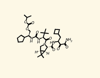 CC(C)OC(=O)OC[C@@H](NC(=O)N[C@H](C(=O)N1C[C@H]2[C@@H]([C@H]1C(=O)NC(CC1CCC1)C(=O)C(N)=O)C2(C)C)C(C)(C)C)C1CCCC1